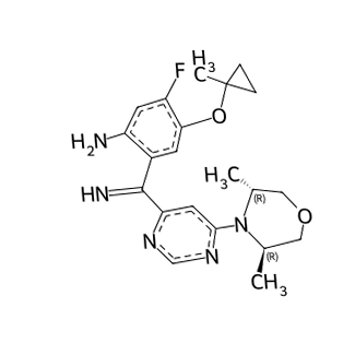 C[C@@H]1COC[C@@H](C)N1c1cc(C(=N)c2cc(OC3(C)CC3)c(F)cc2N)ncn1